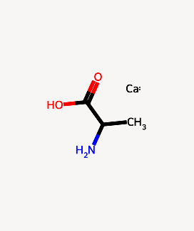 CC(N)C(=O)O.[Ca]